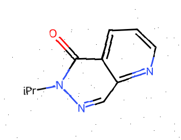 CC(C)n1ncc2ncccc2c1=O